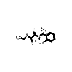 C[C@H](c1ccccc1F)N(C)C(=O)C(=O)OCC(F)(F)F